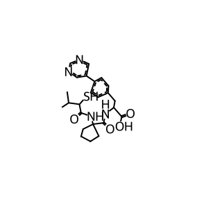 CC(C)C(S)C(=O)NC1(C(=O)NC(Cc2ccc(-c3cncnc3)cc2)C(=O)O)CCCC1